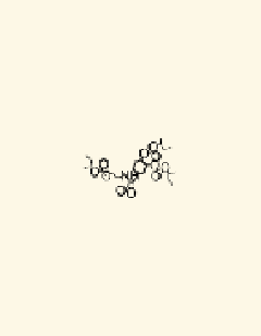 CCC(C)OC(=O)OCCN[C@@H](Cc1ccc(OC(=O)OC(C)CC)c(OC(=O)OC(C)CC)c1)C(=O)OC